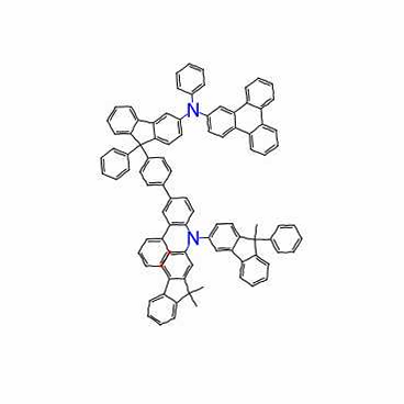 CC1(C)c2ccccc2-c2ccc(N(c3ccc4c(c3)-c3ccccc3C4(C)c3ccccc3)c3ccc(-c4ccc(C5(c6ccccc6)c6ccccc6-c6cc(N(c7ccccc7)c7ccc8c9ccccc9c9ccccc9c8c7)ccc65)cc4)cc3-c3ccccc3)cc21